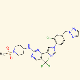 CS(=O)(=O)N1CCC(Nc2ncc(C(F)(F)F)c(-c3cn(-c4ccc(Cn5nccn5)cc4Cl)cn3)n2)CC1